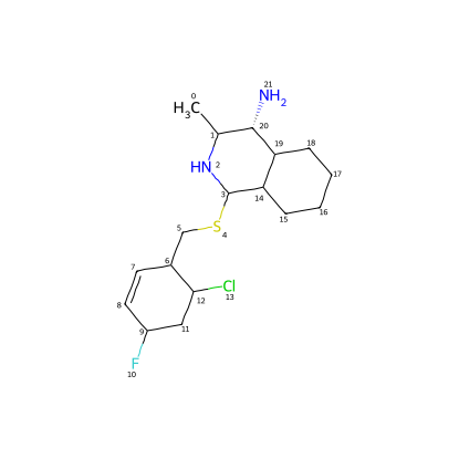 CC1NC(SCC2C=CC(F)CC2Cl)C2CCCCC2[C@H]1N